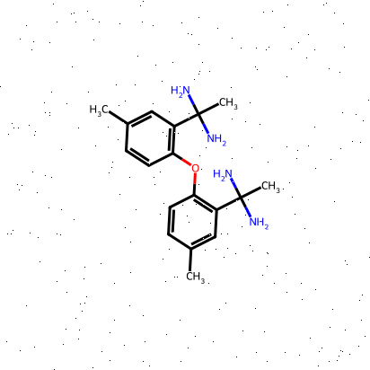 Cc1ccc(Oc2ccc(C)cc2C(C)(N)N)c(C(C)(N)N)c1